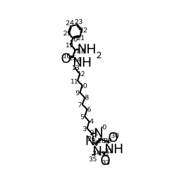 Cn1c(CCCCCCCCCCCNC(=O)C(N)Cc2ccccc2)nc2c1c(=O)[nH]c(=O)n2C